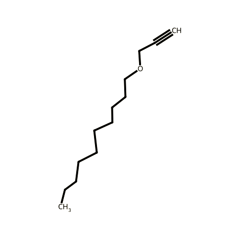 C#CCOCCCCCCCCCC